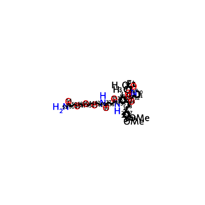 CCC(C)(C)C(=O)C(=O)N1CCCCC1C(=O)OC(CCc1ccc(OC)c(OC)c1)c1cccc(NC(=O)CCC(=O)NCCOCCOCCOCCC(N)=O)c1